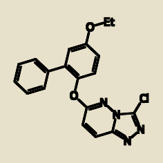 CCOc1ccc(Oc2ccc3nnc(Cl)n3n2)c(-c2ccccc2)c1